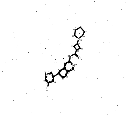 O=C(Nc1cc2cc(-c3cncc(F)c3)ccc2cn1)C1CC(N2CCCCC2)C1